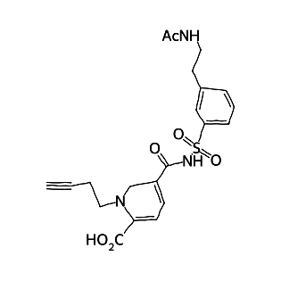 C#CCCN1CC(C(=O)NS(=O)(=O)c2cccc(CCNC(C)=O)c2)=CC=C1C(=O)O